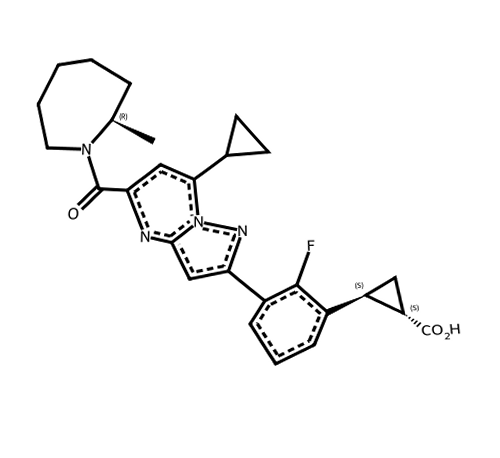 C[C@@H]1CCCCCN1C(=O)c1cc(C2CC2)n2nc(-c3cccc([C@H]4C[C@@H]4C(=O)O)c3F)cc2n1